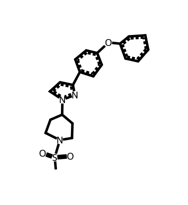 CS(=O)(=O)N1CCC(n2ccc(-c3ccc(Oc4ccccc4)cc3)n2)CC1